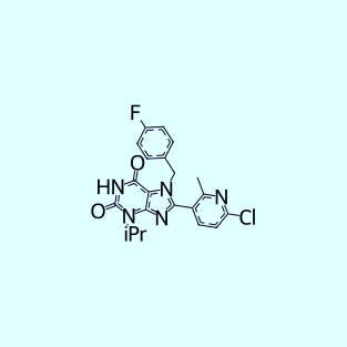 Cc1nc(Cl)ccc1-c1nc2c(c(=O)[nH]c(=O)n2C(C)C)n1Cc1ccc(F)cc1